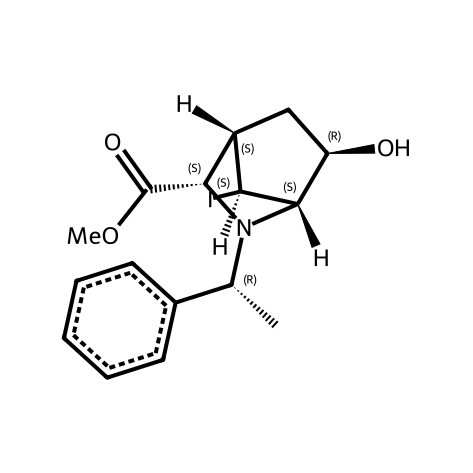 COC(=O)[C@@H]1[C@@H]2C[C@@H](O)[C@@H]([C@H]2I)N1[C@H](C)c1ccccc1